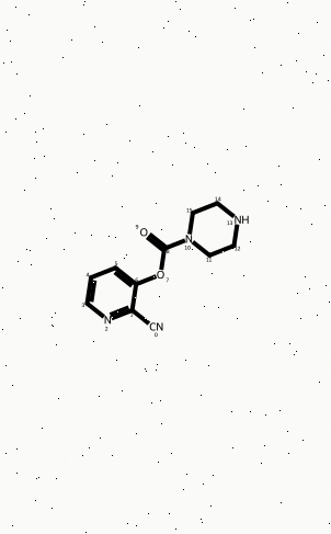 N#Cc1ncccc1OC(=O)N1CCNCC1